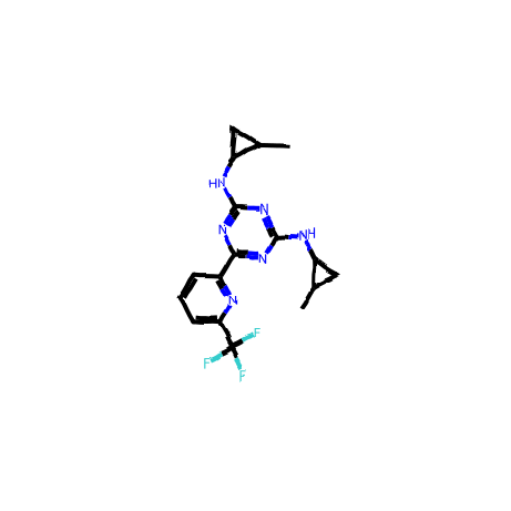 CC1CC1Nc1nc(NC2CC2C)nc(-c2cccc(C(F)(F)F)n2)n1